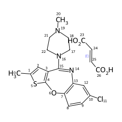 Cc1cc2c(s1)Oc1ccc(Cl)cc1N=C2N1CCN(C)CC1.O=C(O)/C=C/C(=O)O